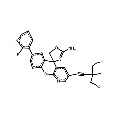 CC(C#Cc1cnc2c(c1)C1(COC(N)=N1)c1cc(-c3cccnc3F)ccc1O2)(CO)CCl